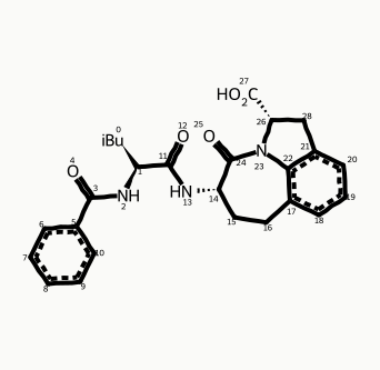 CC[C@H](C)[C@H](NC(=O)c1ccccc1)C(=O)N[C@H]1CCc2cccc3c2N(C1=O)[C@H](C(=O)O)C3